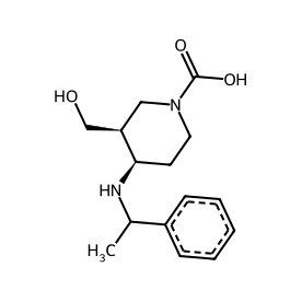 CC(N[C@@H]1CCN(C(=O)O)C[C@@H]1CO)c1ccccc1